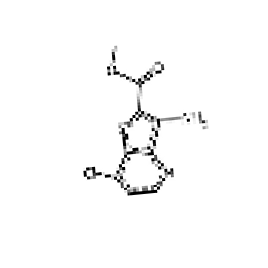 COC(=O)c1sc2c(Cl)ccnc2c1N